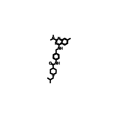 Cc1ccc2c(NCc3ccc(NC(=O)C4CCN(CC(C)C)CC4)cc3)nc(N(C)C)nc2c1